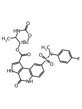 CC(COC(=O)c1c[nH]c2c(=O)[nH]c3ccc(S(=O)(=O)N(C)c4ccc(F)cc4)cc3c12)NC(=O)OC(C)(C)C